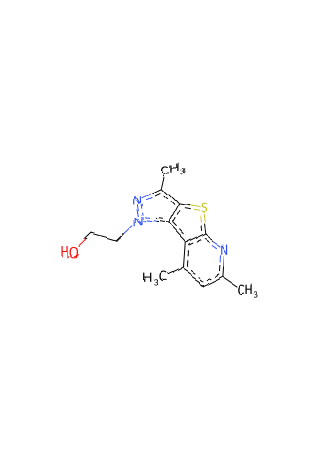 Cc1cc(C)c2c(n1)sc1c(C)nn(CCO)c12